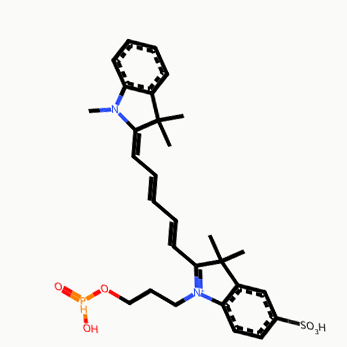 CN1/C(=C/C=C/C=C/C2=[N+](CCCO[PH](=O)O)c3ccc(S(=O)(=O)O)cc3C2(C)C)C(C)(C)c2ccccc21